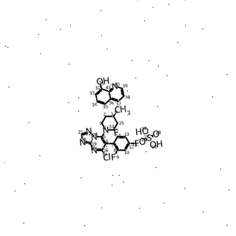 CC1CCN(c2c(-c3c(F)cc(F)cc3F)c(Cl)nc3ncnn23)CC1.O=S(=O)(O)O.Oc1cccc2cccnc12